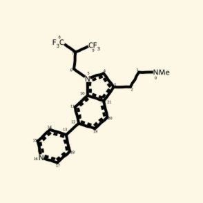 CNCCc1cn(CC(C(F)(F)F)C(F)(F)F)c2cc(-c3ccncc3)ccc12